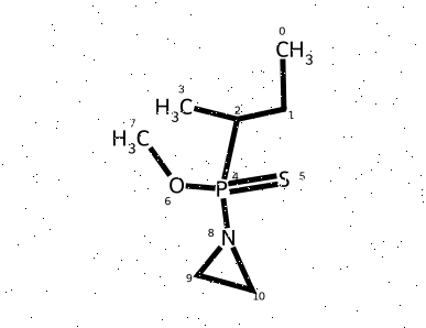 CCC(C)P(=S)(OC)N1CC1